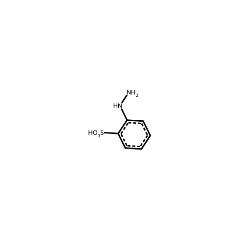 NNc1ccccc1S(=O)(=O)O